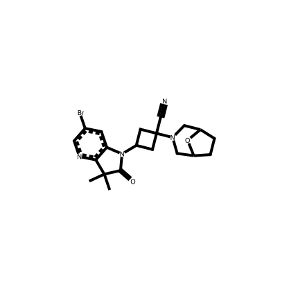 CC1(C)C(=O)N(C2CC(C#N)(N3CC4CCC(C3)O4)C2)c2cc(Br)cnc21